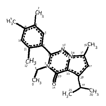 CCn1c(-c2cc(C)c(C)cc2C)nn2c(C)cc(C(C)C)c2c1=O